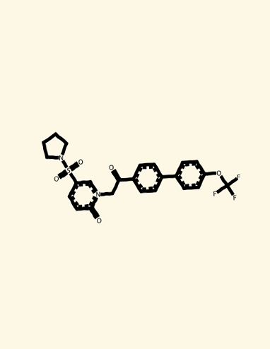 O=C(Cn1cc(S(=O)(=O)N2CCCC2)ccc1=O)c1ccc(-c2ccc(OC(F)(F)F)cc2)cc1